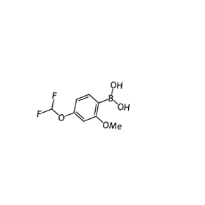 COc1cc(OC(F)F)ccc1B(O)O